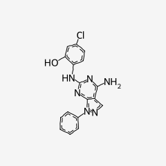 Nc1nc(Nc2ccc(Cl)cc2O)nc2c1cnn2-c1ccccc1